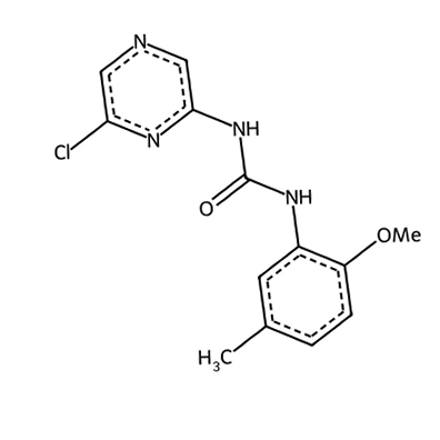 COc1ccc(C)cc1NC(=O)Nc1cncc(Cl)n1